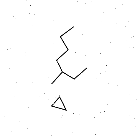 [CH2]C(CC)CCCC.[CH]1CC1